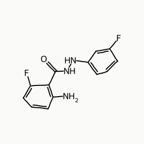 Nc1cccc(F)c1C(=O)NNc1cccc(F)c1